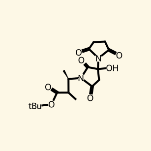 CC(C(=O)OC(C)(C)C)[C@@H](C)N1C(=O)CC(O)(N2C(=O)CCC2=O)C1=O